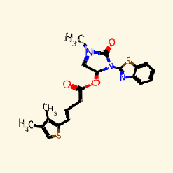 Cc1csc(CCCC(=O)OC2CN(C)C(=O)N2c2nc3ccccc3s2)c1C